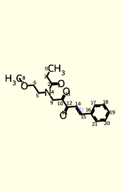 CCC(=O)N(CCOC)CC(=O)C(=O)/C=C/c1ccccc1